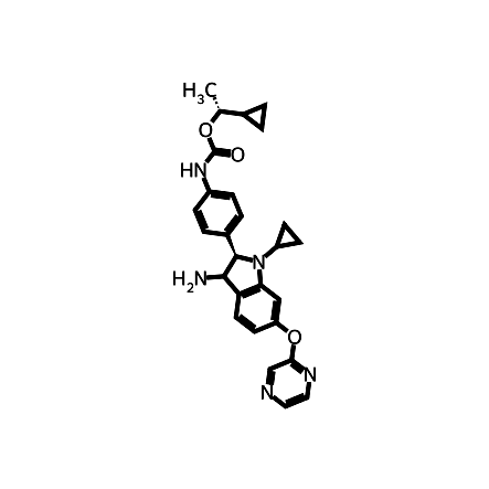 C[C@@H](OC(=O)Nc1ccc([C@@H]2C(N)c3ccc(Oc4cnccn4)cc3N2C2CC2)cc1)C1CC1